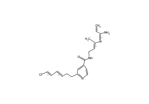 C=C/C(N)=N\C(C)=C\CNC(=O)c1ccnc(CC/C=C/C=C/Cl)c1